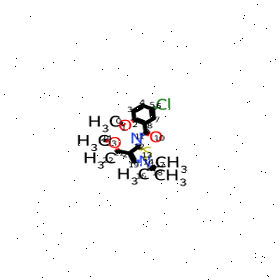 COc1ccc(Cl)cc1C(=O)N=c1sn(C(C)(C)C)cc1C(C)OC